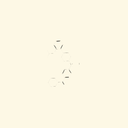 CC(C)Oc1ccccc1N1CCN(Cc2ccc(C(=O)N3CCCCC3)cc2)CC1.Cl.Cl